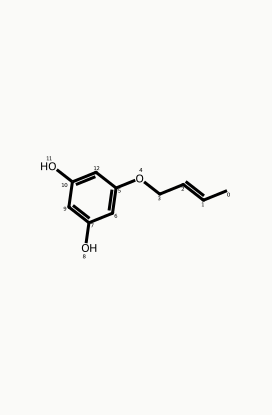 CC=CCOc1cc(O)cc(O)c1